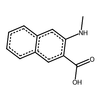 CNc1cc2ccccc2cc1C(=O)O